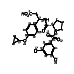 O=C(O)C[C@@H](NC(=O)[C@@H]1CCCN1S(=O)(=O)c1cc(Cl)cc(Cl)c1)c1ccc(OC2CC2)cc1